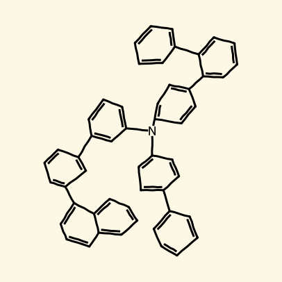 c1ccc(-c2ccc(N(c3ccc(-c4ccccc4-c4ccccc4)cc3)c3cccc(-c4cccc(-c5cccc6ccccc56)c4)c3)cc2)cc1